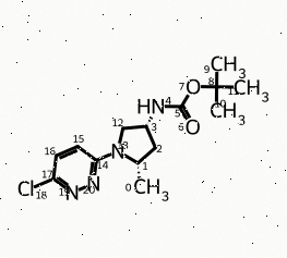 C[C@H]1C[C@@H](NC(=O)OC(C)(C)C)CN1c1ccc(Cl)nn1